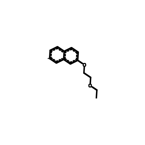 CCOCCOc1ccc2cc[c]cc2c1